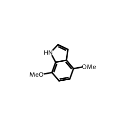 COc1ccc(OC)c2[nH]ccc12